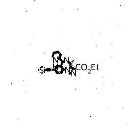 CCOC(=O)c1ncn2c1[C@H](C)N=C(C1=CC=CCN1)c1cc(C#C[Si](C)(C)C)ccc1-2